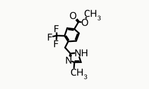 COC(=O)c1ccc(Cc2nc(C)c[nH]2)c(C(F)(F)F)c1